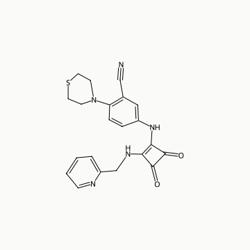 N#Cc1cc(Nc2c(NCc3ccccn3)c(=O)c2=O)ccc1N1CCSCC1